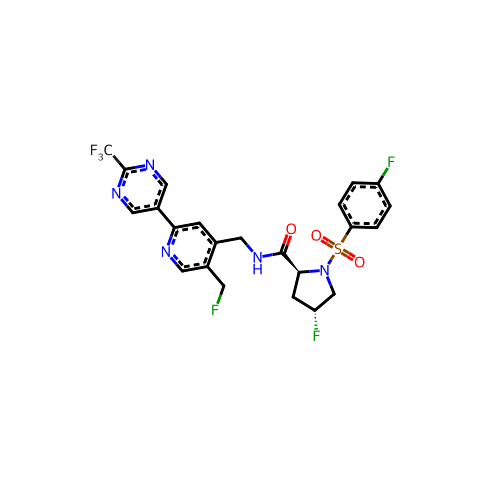 O=C(NCc1cc(-c2cnc(C(F)(F)F)nc2)ncc1CF)[C@@H]1C[C@@H](F)CN1S(=O)(=O)c1ccc(F)cc1